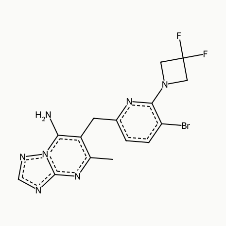 Cc1nc2ncnn2c(N)c1Cc1ccc(Br)c(N2CC(F)(F)C2)n1